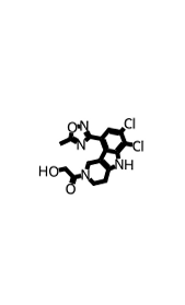 Cc1nc(-c2cc(Cl)c(Cl)c3[nH]c4c(c23)CN(C(=O)CO)CC4)no1